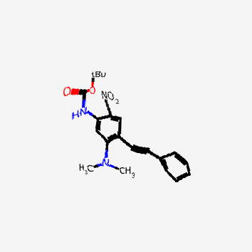 CN(C)c1cc(NC(=O)OC(C)(C)C)c([N+](=O)[O-])cc1C#Cc1ccccc1